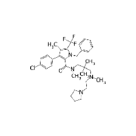 Cc1c(-c2ccc(Cl)cc2)c(C(=O)N(C)CC(C)(C)CN(C)CCN2CCCC2)n(Cc2ccccc2)c1C(F)(F)F